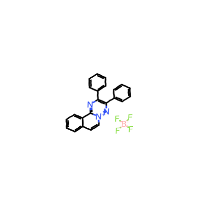 F[B-](F)(F)F.c1ccc(-c2nc3c4ccccc4cc[n+]3nc2-c2ccccc2)cc1